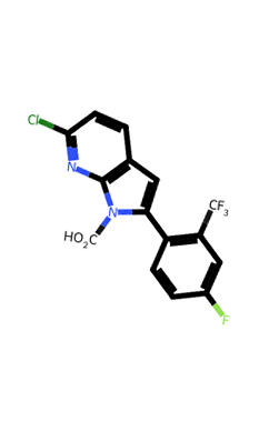 O=C(O)n1c(-c2ccc(F)cc2C(F)(F)F)cc2ccc(Cl)nc21